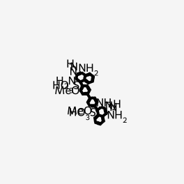 [H]/N=N/C1=C(N)c2ccccc2C(c2ccc(-c3ccc(C4(S(=O)(=O)O)c5ccccc5C(N)=C(/N=N/[H])C4N)c(OC)c3)cc2OC)(S(=O)(=O)O)C1N